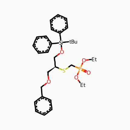 CCOP(=O)(CS[C@@H](COCc1ccccc1)CO[Si](c1ccccc1)(c1ccccc1)C(C)(C)C)OCC